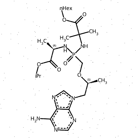 CCCCCCOC(=O)C(C)(C)NP(=O)(CO[C@@H](C)Cn1cnc2c(N)ncnc21)N[C@H](C)C(=O)OC(C)C